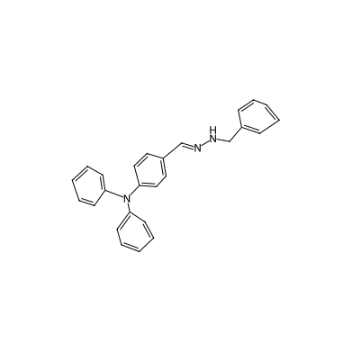 C(=NNCc1ccccc1)c1ccc(N(c2ccccc2)c2ccccc2)cc1